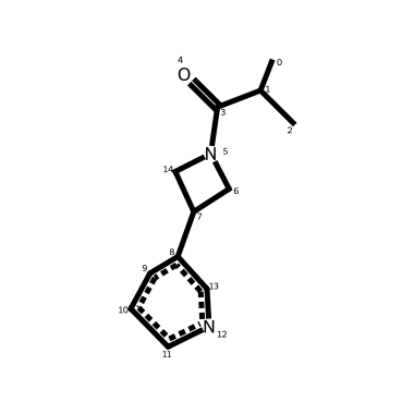 CC(C)C(=O)N1CC(c2cccnc2)C1